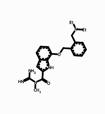 CCN(CC)Cc1ccccc1COc1cccc2cc(C(=O)N(C)C(=N)N)[nH]c12